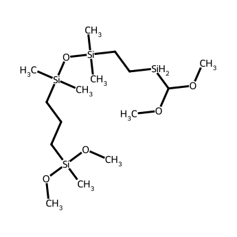 COC(OC)[SiH2]CC[Si](C)(C)O[Si](C)(C)CCC[Si](C)(OC)OC